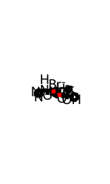 O=C(C[N+]12CCC(CC1)[C@@H](OC(=O)C(O)(c1cccs1)C1CCCCC1)C2)Nc1cncnc1.[Br-]